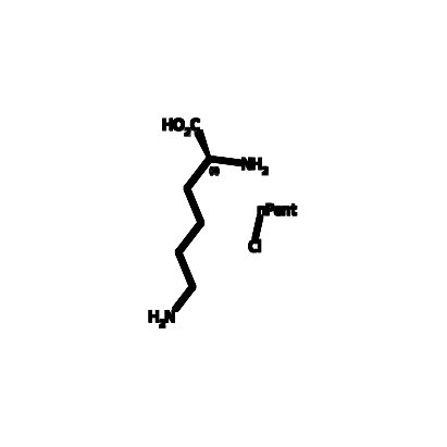 CCCCCCl.NCCCC[C@H](N)C(=O)O